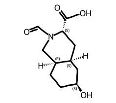 O=CN1C[C@@H]2CC[C@H](O)C[C@@H]2C[C@H]1C(=O)O